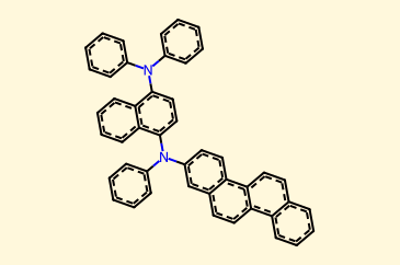 c1ccc(N(c2ccccc2)c2ccc(N(c3ccccc3)c3ccc4c(ccc5c6ccccc6ccc45)c3)c3ccccc23)cc1